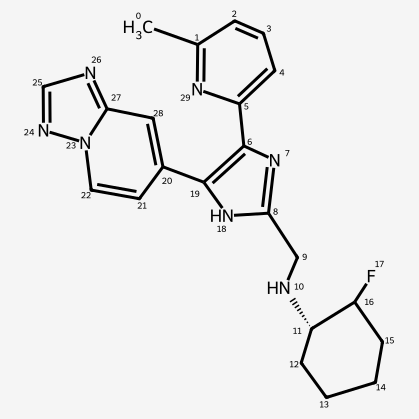 Cc1cccc(-c2nc(CN[C@H]3CCCCC3F)[nH]c2-c2ccn3ncnc3c2)n1